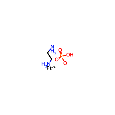 NCCN.O=P([O-])([O-])O.[Pt+2]